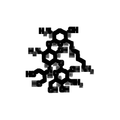 NCCCNC[C@H]1O[C@H](OC2[C@@H](N)C[C@@H](NC(CO)CO)[C@H](O[C@H]3O[C@H](CO)[C@@H](O)[C@H](N)[C@H]3O)[C@H]2O)[C@H](N)C[C@@H]1O